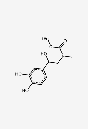 CN(CC(O)c1ccc(O)c(O)c1)C(=O)OC(C)(C)C